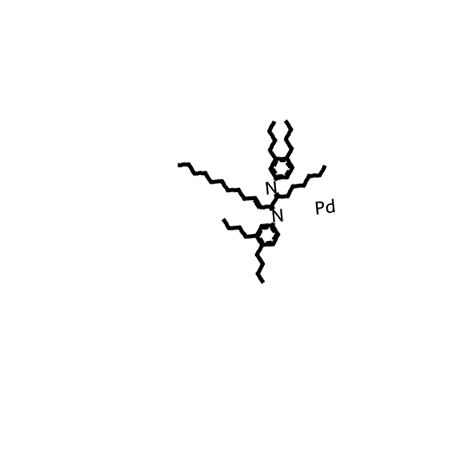 CCCCCCCCCC=CC(=Nc1ccc(CCCC)c(CCCC)c1)C(CCCCCC)=Nc1ccc(CCCC)c(CCCC)c1.[Pd]